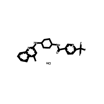 Cc1cc(NC2CCC(NC(=O)c3ccc(C(F)(F)F)nc3)CC2)nc2ccccc12.Cl